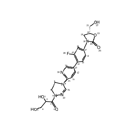 O=C(C(O)CO)N1CCN(c2ccc(-c3ccc(N4C[C@H](CO)OC4=O)cc3F)cn2)C=N1